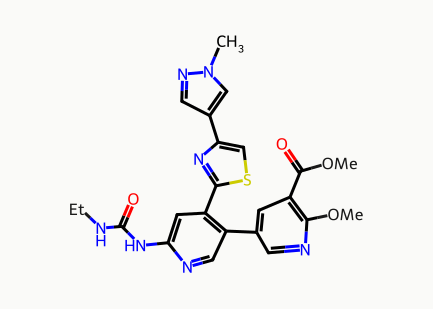 CCNC(=O)Nc1cc(-c2nc(-c3cnn(C)c3)cs2)c(-c2cnc(OC)c(C(=O)OC)c2)cn1